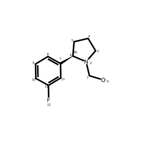 [O]CN1CCC[C@@H]1c1cccc(F)c1